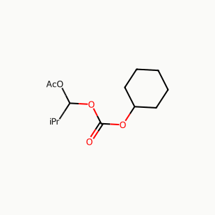 CC(=O)OC(OC(=O)OC1CCCCC1)C(C)C